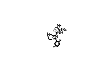 CN1CCCn2c(-c3cc(F)ccc3F)nc(C(=O)N[C@H](C(=O)N(C)C)C(C)(C)C)c2C1